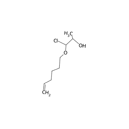 C=CCCCCOC(Cl)C(C)O